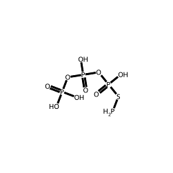 O=P(O)(O)OP(=O)(O)OP(=O)(O)SP